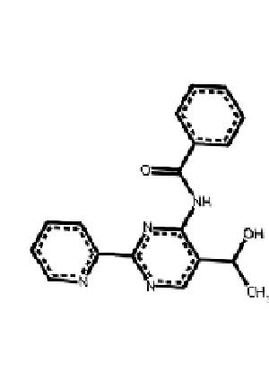 CC(O)c1cnc(-c2ccccn2)nc1NC(=O)c1ccccc1